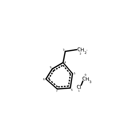 CCl.[CH2]Cc1ccccc1